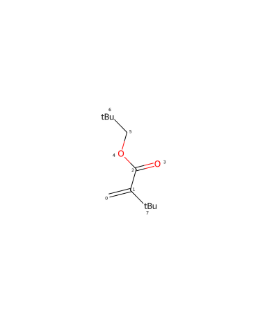 C=C(C(=O)OCC(C)(C)C)C(C)(C)C